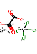 O=C([O-])C(=O)[O-].[Cl][Ti]([Cl])([Cl])[Cl].[Sn+2]